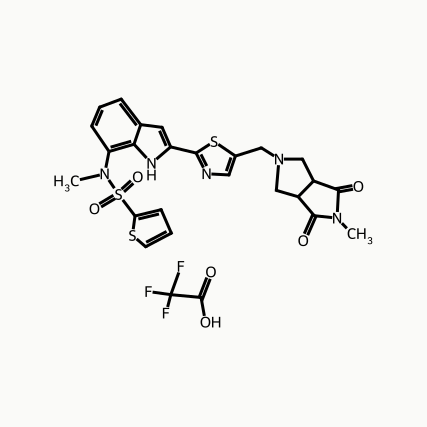 CN1C(=O)C2CN(Cc3cnc(-c4cc5cccc(N(C)S(=O)(=O)c6cccs6)c5[nH]4)s3)CC2C1=O.O=C(O)C(F)(F)F